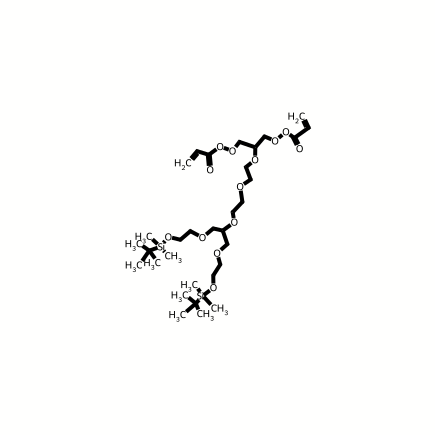 C=CC(=O)OOCC(COOC(=O)C=C)OCCOCCOC(COCCO[Si](C)(C)C(C)(C)C)COCCO[Si](C)(C)C(C)(C)C